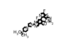 CN(C)C1CCN([C@@H]2CCN(c3ncc4c5c(c(-c6ncc(F)c7sc(N)c(C#N)c67)c(F)c4n3)COC5)C2)CC1